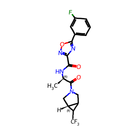 C[C@@H](NC(=O)c1noc(-c2cccc(F)c2)n1)C(=O)N1CC2C(C(F)(F)F)[C@@H]2C1